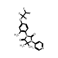 Cc1cc(OC(F)(F)C(F)F)ccc1N1C(=O)N(c2ccncc2)C(C)(C)C1=O